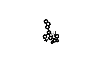 CC(C)(C)c1cccc(C2=C(c3cccc4c3Oc3ccccc3C43c4ccccc4-c4ccccc43)NCC(c3ccc4c(ccc5ccccc54)c3)=C2)c1